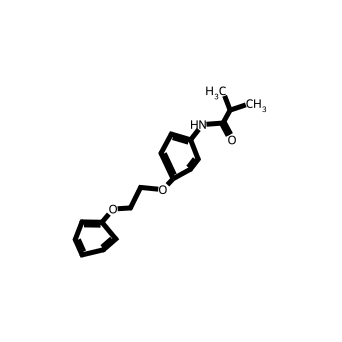 CC(C)C(=O)Nc1ccc(OCCOc2ccccc2)cc1